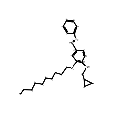 CCCCCCCCCCOc1cc(/N=N/c2ccccc2)ccc1OCC1CC1